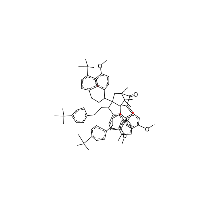 COc1ccc(C(CCc2ccc(C(C)(C)C)cc2)C2(C(CCc3ccc(C(C)(C)C)cc3)c3ccc(OC)cc3)CC3(C)C(=O)C(=Cc4ccc(C)cc4)C2(C(CCc2ccc(C(C)(C)C)cc2)c2ccc(OC)cc2)C3(C)C)cc1